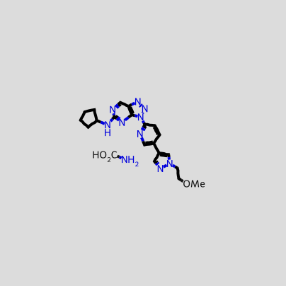 COCCn1cc(-c2ccc(-n3nnc4cnc(NC5CCCC5)nc43)nc2)cn1.NC(=O)O